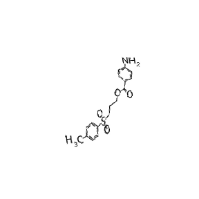 Cc1ccc(S(=O)(=O)CCCOC(=O)c2ccc(N)cc2)cc1